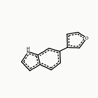 c1cc2ccc(-c3ccoc3)cc2[nH]1